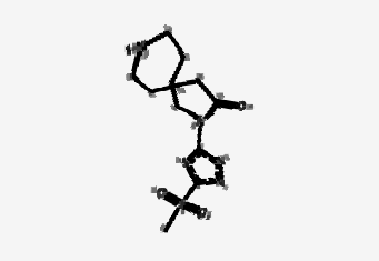 CS(=O)(=O)c1nnc(N2CC3(CCNCC3)CC2=O)s1